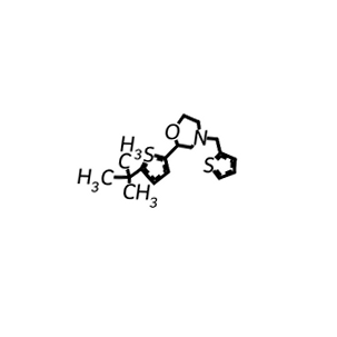 CC(C)(C)c1ccc(C2CN(Cc3cccs3)CCO2)s1